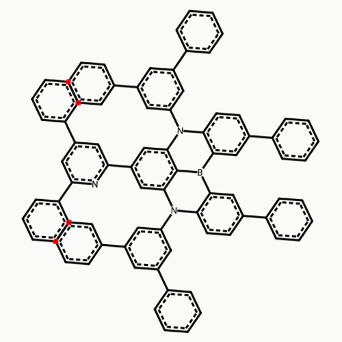 c1ccc(-c2cc(-c3ccccc3)cc(N3c4ccc(-c5ccccc5)cc4B4c5cc(-c6ccccc6)ccc5N(c5cc(-c6ccccc6)cc(-c6ccccc6)c5)c5cc(-c6cc(-c7ccccc7)cc(-c7ccccc7)n6)cc3c54)c2)cc1